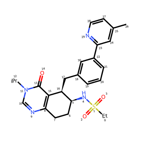 CCS(=O)(=O)N[C@H]1CCc2ncn(C(C)C)c(=O)c2[C@H]1Cc1cccc(-c2cc(C)ccn2)c1